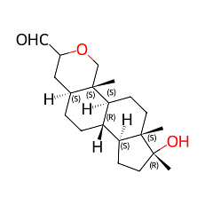 C[C@]12COC(C=O)C[C@@H]1CC[C@@H]1[C@@H]2CC[C@@]2(C)[C@H]1CC[C@@]2(C)O